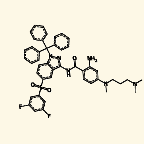 CN(C)CCCN(C)c1ccc(C(=O)Nc2nn(C(c3ccccc3)(c3ccccc3)c3ccccc3)c3ccc(S(=O)(=O)c4cc(F)cc(F)c4)cc23)c(N)c1